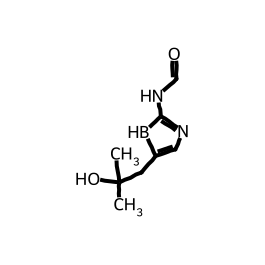 CC(C)(O)CC1=CN=C(NC=O)B1